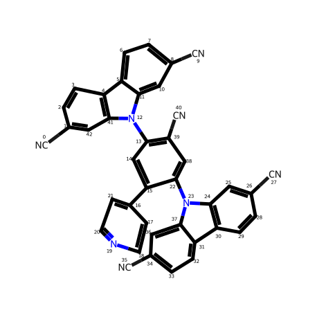 N#Cc1ccc2c3ccc(C#N)cc3n(-c3cc(-c4ccncc4)c(-n4c5cc(C#N)ccc5c5ccc(C#N)cc54)cc3C#N)c2c1